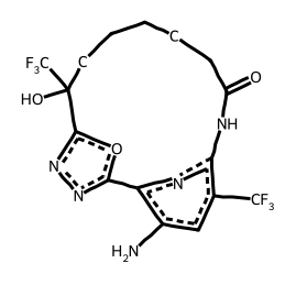 Nc1cc(C(F)(F)F)c2nc1-c1nnc(o1)C(O)(C(F)(F)F)CCCCCC(=O)N2